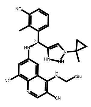 Cc1c(C#N)cccc1[C@H](Nc1cc(C#N)c2ncc(C#N)c(NCC(C)(C)C)c2c1)C1=CN(C2(C)CC2)NN1